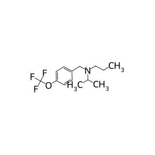 CCCN(Cc1ccc(OC(F)(F)F)cc1)C(C)C